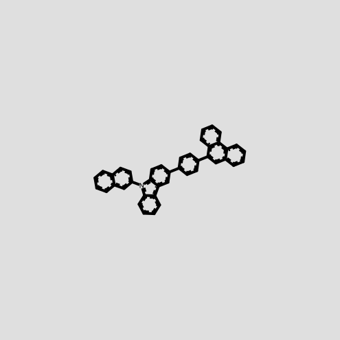 c1ccc2cc(-n3c4ccccc4c4cc(-c5ccc(-c6cc7ccccc7c7ccccc67)cc5)ccc43)ccc2c1